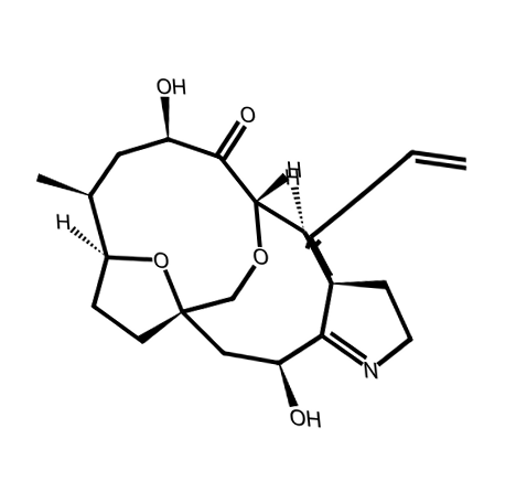 C=CC1=C[C@@H]2[C@@H]3OC[C@]4(CC[C@H](O4)[C@@H](C)C[C@@H](O)C3=O)C[C@H](O)C3=NCC[C@@]32CC1